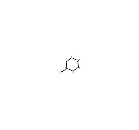 [S]C1CCOCC1